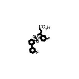 O=C(O)CCc1cn(S(=O)(=O)c2cccc(-c3cccc(F)c3)c2)c2ccc(F)cc12